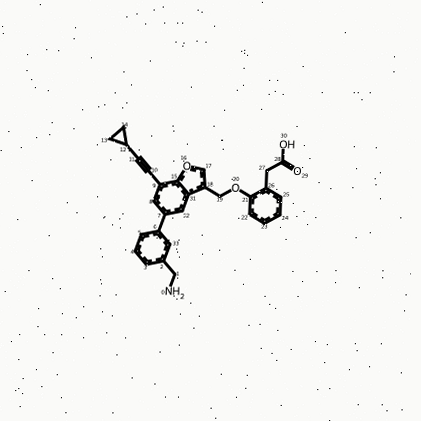 NCc1cccc(-c2cc(C#CC3CC3)c3occ(COc4ccccc4CC(=O)O)c3c2)c1